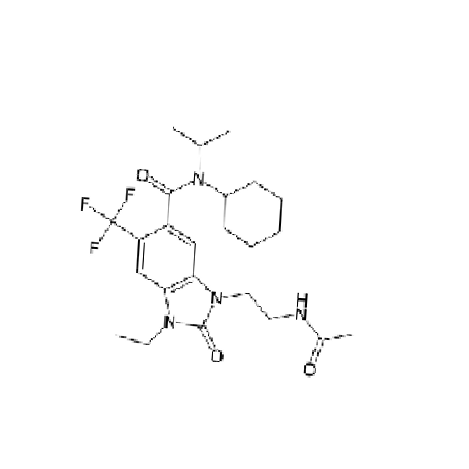 CCn1c(=O)n(CCNC(C)=O)c2cc(C(=O)N(C(C)C)C3CCCCC3)c(C(F)(F)F)cc21